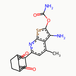 Cc1cc(C2=C3CCC(=C2)C(=O)C3=O)nc2sc(OC(N)=O)c(N)c12